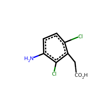 Nc1ccc(Cl)c(CC(=O)O)c1Cl